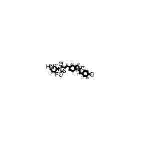 O=C1S/C(=C\c2ccc3c(cnn3Cc3ccc(Cl)cc3C(F)(F)F)c2)C(=O)N1C1CNCCC1F